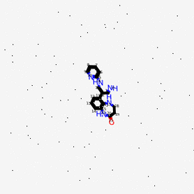 N=C/C(=C\Nc1ccccn1)c1cccc2c1NCCC(=O)N2